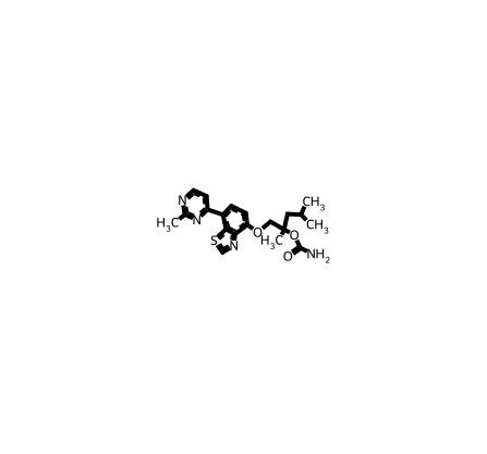 Cc1nccc(-c2ccc(OCC(C)(CC(C)C)OC(N)=O)c3ncsc23)n1